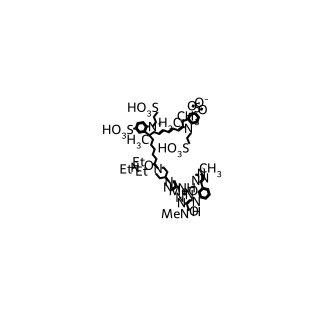 CCN(CC)CC.CNC(=O)c1nnc(Nc2cnn(C3CCN(C(=O)CCCCCC4(C)C(/C=C/C=C/C=C5/N(CCCS(=O)(=O)O)c6ccc(S(=O)(=O)[O-])cc6C5(C)C)=[N+](CCCS(=O)(=O)O)c5ccc(S(=O)(=O)O)cc54)CC3)c2)nc1Nc1cccc(-c2ncn(C)n2)c1OC